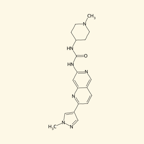 CN1CCC(NC(=O)Nc2cc3nc(-c4cnn(C)c4)ccc3cn2)CC1